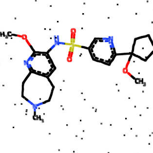 COc1nc2c(cc1NS(=O)(=O)c1ccc(C3(OC)CCCC3)nc1)CCN(C)CC2